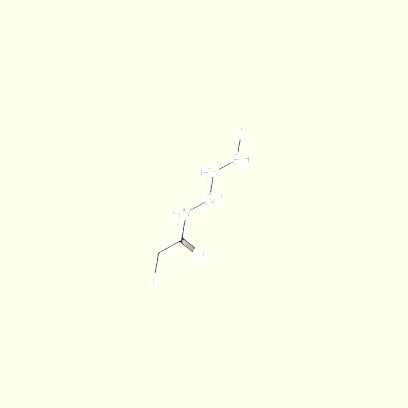 O=C(CI)NBBBI